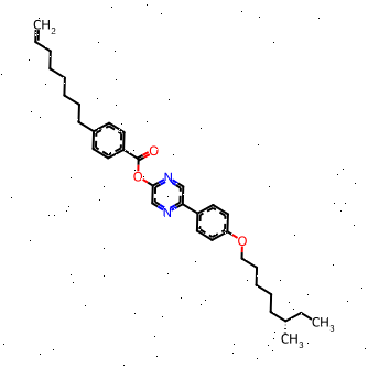 C=CCCCCCCc1ccc(C(=O)Oc2cnc(-c3ccc(OCCCCC[C@@H](C)CC)cc3)cn2)cc1